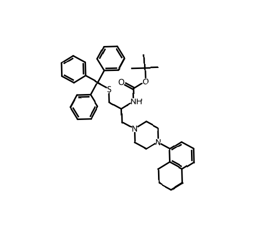 CC(C)(C)OC(=O)NC(CSC(c1ccccc1)(c1ccccc1)c1ccccc1)CN1CCN(c2cccc3c2CCCC3)CC1